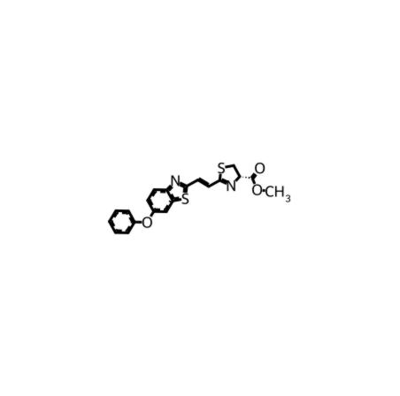 COC(=O)[C@H]1CSC(C=Cc2nc3ccc(Oc4ccccc4)cc3s2)=N1